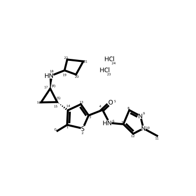 Cc1sc(C(=O)Nc2cnn(C)c2)cc1[C@@H]1C[C@H]1NC1CCC1.Cl.Cl